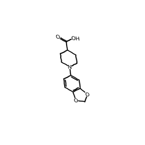 O=C(O)C1CCN(c2ccc3c(c2)OCO3)CC1